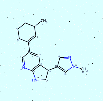 CC1C=C(c2cnc3c(c2)C(c2cnn(C)c2)CN3)CCC1